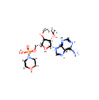 COC1[C@@H](COP(=O)(O)N2CCOCC2)O[C@@H](n2cnc3c(N)ncnc32)[C@H]1OC